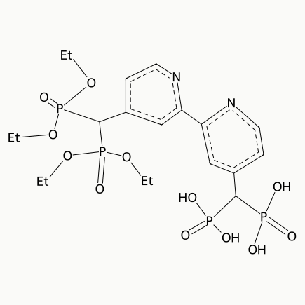 CCOP(=O)(OCC)C(c1ccnc(-c2cc(C(P(=O)(O)O)P(=O)(O)O)ccn2)c1)P(=O)(OCC)OCC